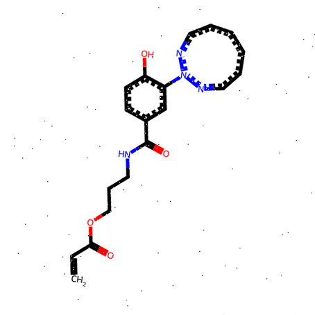 C=CC(=O)OCCCNC(=O)c1ccc(O)c(-n2nccccccn2)c1